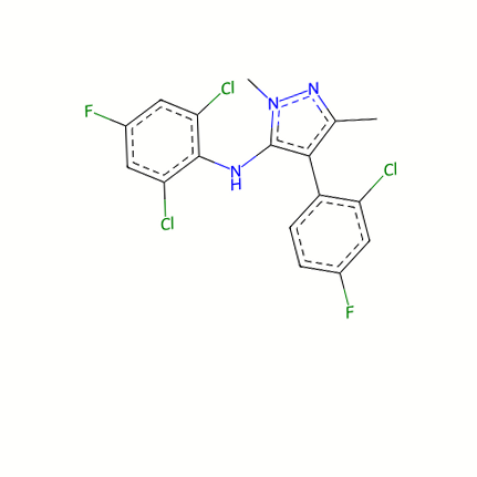 Cc1nn(C)c(Nc2c(Cl)cc(F)cc2Cl)c1-c1ccc(F)cc1Cl